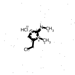 CN=c1scc(CCl)n1C.Cl